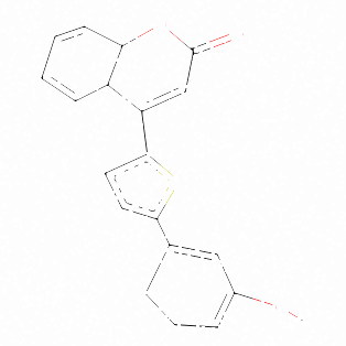 COC1=CCCC(c2ccc(C3=CC(=O)OC4C=CC=CC34)s2)=C1